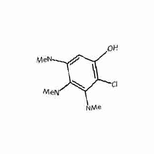 CNc1cc(O)c(Cl)c(NC)c1NC